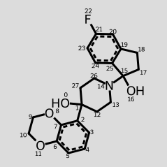 OC1(c2cccc3c2OCCO3)CCN(C2(O)CCc3cc(F)ccc32)CC1